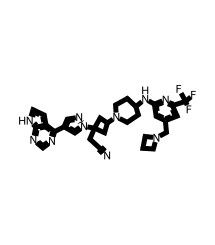 N#CCC1(n2cc(-c3ncnc4[nH]ccc34)cn2)CC(N2CCC(Nc3cc(CN4CCC4)cc(C(F)(F)F)n3)CC2)C1